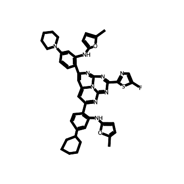 Cc1ccc(Nc2cc(N3CCCCC3)ccc2C2=CC3=CC(c4ccc(C5CCCCC5)cc4Nc4ccc(C)o4)=NC4=NC(c5ncc(F)s5)=NC(=N2)N34)o1